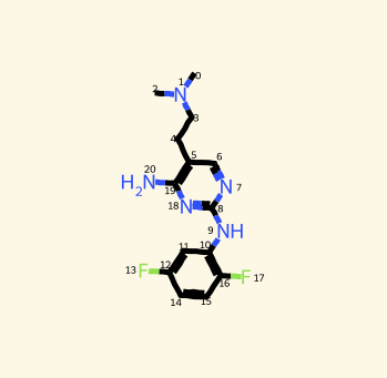 CN(C)CCc1cnc(Nc2cc(F)ccc2F)nc1N